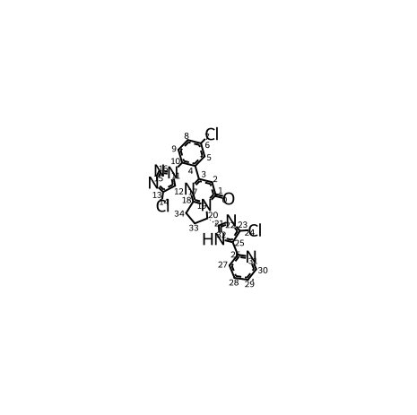 O=c1cc(-c2cc(Cl)ccc2-n2cc(Cl)nn2)nc2n1[C@H](c1nc(Cl)c(-c3cc[c]cn3)[nH]1)CC2